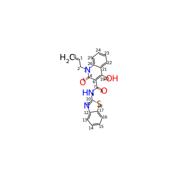 C=CCn1c(=O)c(C(=O)Nc2nc3ccccc3s2)c(O)c2ccccc21